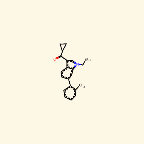 CC(C)(C)Cn1cc(C(=O)C2CC2)c2ccc(-c3ccccc3C(F)(F)F)cc21